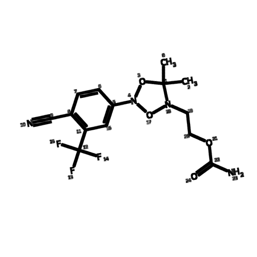 CC1(C)ON(c2ccc(C#N)c(C(F)(F)F)c2)ON1CCOC(N)=O